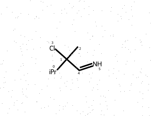 CC(C)C(C)(Cl)C=N